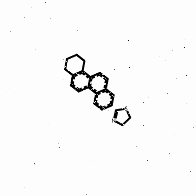 C1=NCCS1.c1ccc2c(c1)ccc1c3c(ccc12)CCCC3